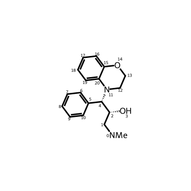 CNC[C@@H](O)[C@H](c1ccccc1)N1CCOc2ccccc21